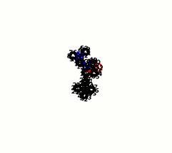 c1ccc(-n2c3ccccc3c3ccc(N(c4ccc(-c5ccc6c(c5)-c5ccccc5C6(c5ccccc5)c5ccccc5)cc4)c4cccc5oc6ccccc6c45)cc32)cc1